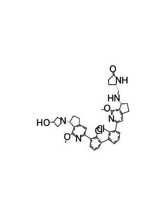 COc1nc(-c2cccc(-c3cccc(-c4cc5c(c(OC)n4)[C@H](NC[C@@H]4CCC(=O)N4)CC5)c3Cl)c2Cl)cc2c1[C@H](N1CC(O)C1)CC2